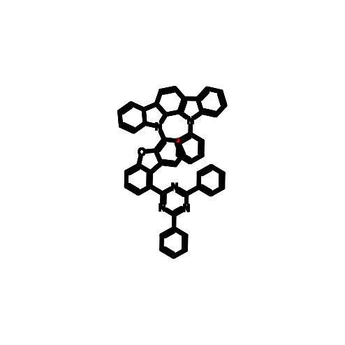 C1=CC2C3C=Cc4c(n(-c5ccccc5)c5ccccc45)C3N(c3cccc4c3oc3cccc(-c5nc(-c6ccccc6)nc(-c6ccccc6)n5)c34)C2C=C1